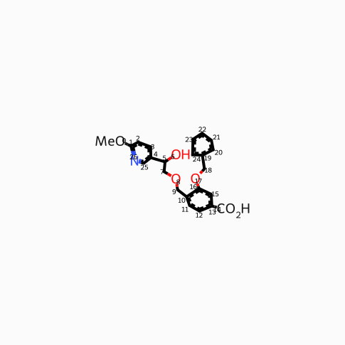 COc1ccc(C(O)COCc2ccc(C(=O)O)cc2OCc2ccccc2)cn1